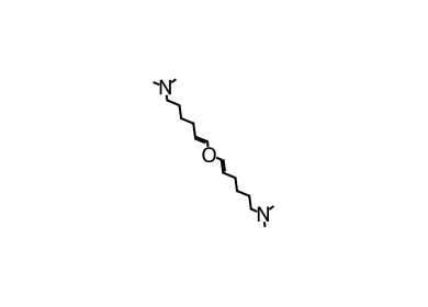 CN(C)CCCCC=COC=CCCCCN(C)C